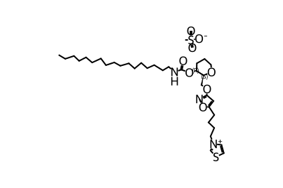 CCCCCCCCCCCCCCCCCNC(=O)O[C@@H]1CCCO[C@H]1COc1cc(CCCC[n+]2ccsc2)on1.CS(=O)(=O)[O-]